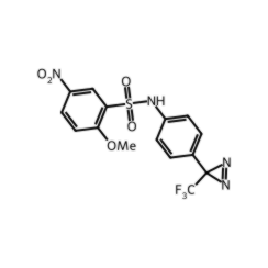 COc1ccc([N+](=O)[O-])cc1S(=O)(=O)Nc1ccc(C2(C(F)(F)F)N=N2)cc1